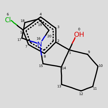 OC1(c2ccc(Cl)cc2)CCCCCC1CN1CCCC1